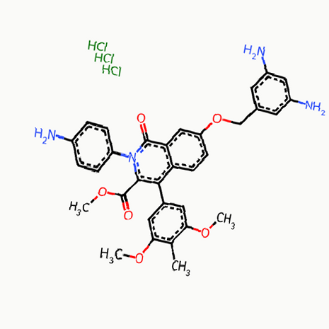 COC(=O)c1c(-c2cc(OC)c(C)c(OC)c2)c2ccc(OCc3cc(N)cc(N)c3)cc2c(=O)n1-c1ccc(N)cc1.Cl.Cl.Cl